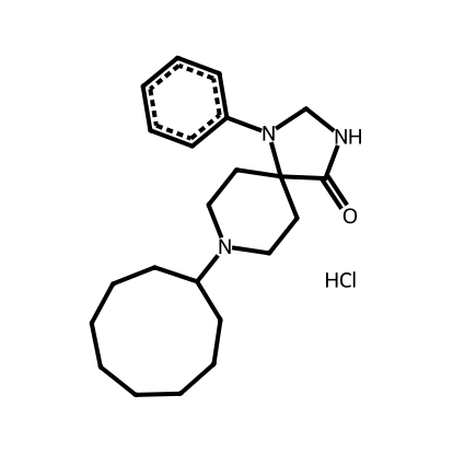 Cl.O=C1NCN(c2ccccc2)C12CCN(C1CCCCCCCC1)CC2